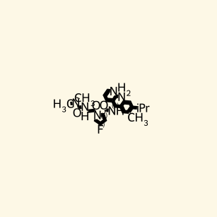 Cc1cc([C@@H](NC(=O)[C@@H]2C[C@@H](F)CN2C(=O)CNC(=O)N(C)C)c2cccnc2N)ccc1C(C)C